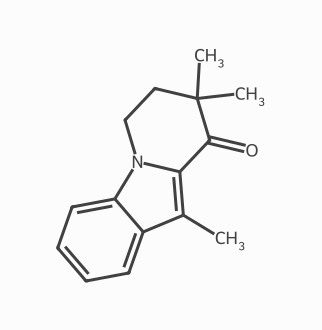 Cc1c2n(c3ccccc13)CCC(C)(C)C2=O